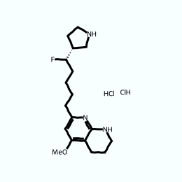 COc1cc(CCCCC(F)[C@@H]2CCNC2)nc2c1CCCN2.Cl.Cl